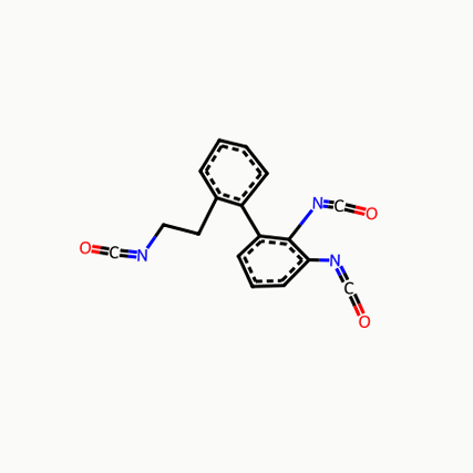 O=C=NCCc1ccccc1-c1cccc(N=C=O)c1N=C=O